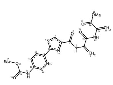 C=C(NC(=O)c1csc(-c2ccc(NC(=O)OC(C)(C)C)nn2)n1)C(=O)NC(=C)C(=O)OC